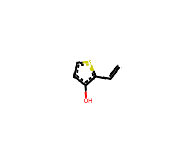 [CH]=Cc1sccc1O